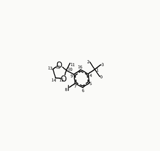 CC(C)(C)c1ccc(I)c(C2(C)OCCO2)c1